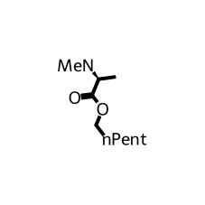 CCCCCCOC(=O)[C@H](C)NC